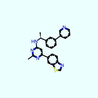 Cc1nc(N[C@@H](C)c2cccc(-c3cccnc3)c2)cc(-c2ccc3ncsc3c2)n1